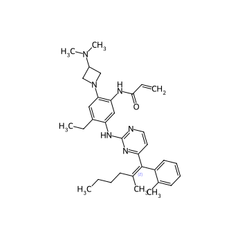 C=CC(=O)Nc1cc(Nc2nccc(/C(=C(/C)CCCC)c3ccccc3C)n2)c(CC)cc1N1CC(N(C)C)C1